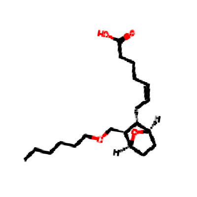 CCCCCCOC[C@H]1[C@H](C/C=C\CCCC(=O)O)[C@H]2CC[C@@H]1O2